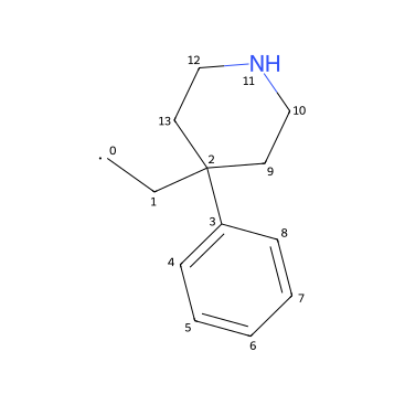 [CH2]CC1(c2ccccc2)CCNCC1